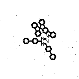 c1ccc(-c2ccc(-c3nc(-c4ccc(-c5ccccc5)cc4)nc(-n4c5ccccc5c5cc6c(cc54)C4(c5ccccc5-c5ccccc54)c4ccccc4-6)n3)cc2)cc1